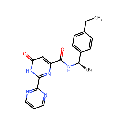 CC(C)(C)[C@@H](NC(=O)c1cc(=O)[nH]c(-c2ncccn2)n1)c1ccc(CC(F)(F)F)cc1